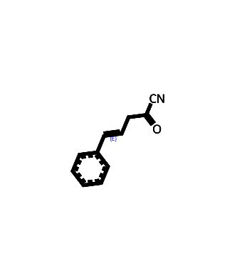 N#CC(=O)C/C=C/c1ccccc1